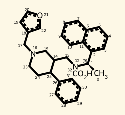 C[C@H](c1cccc2ccccc12)N(CC1CN(Cc2ccoc2)CCC1c1ccccc1)C(=O)O